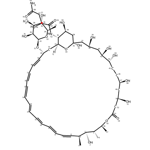 C[C@@H]1[C@H](O)[C@@H](C)/C=C/C=C/C=C/C=C/C=C/C=C/C=C/[C@H](O[C@@H]2O[C@H](C)[C@@H](O)[C@H](N)[C@@H]2O)C[C@@H]2O[C@](O)(C[C@@H](O)C[C@@H](O)[C@H](O)CC[C@@H](O)C[C@@H](O)CC(=O)O[C@H]1C)C[C@H](O)[C@H]2NC(=O)N(O)CC(N)=O